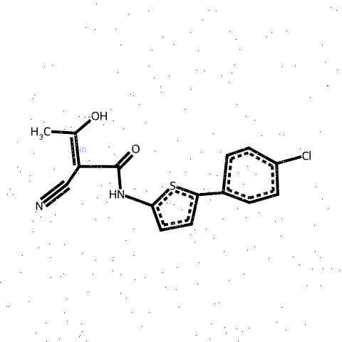 C/C(O)=C(\C#N)C(=O)Nc1ccc(-c2ccc(Cl)cc2)s1